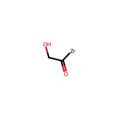 O=[C]([Zr])CO